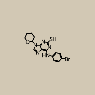 Sc1nc(Nc2ccc(Br)cc2)c2ncn(C3CCCCO3)c2n1